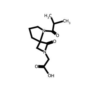 CC(C)C(=O)N1CCCC12CN(CC(=O)O)C2=O